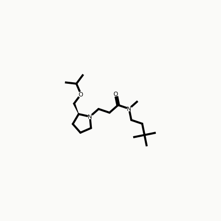 CC(C)OC[C@@H]1CCCN1CCC(=O)N(C)CCC(C)(C)C